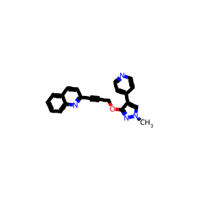 Cn1cc(-c2ccncc2)c(OCC#Cc2ccc3ccccc3n2)n1